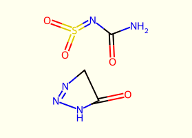 NC(=O)N=S(=O)=O.O=C1CN=NN1